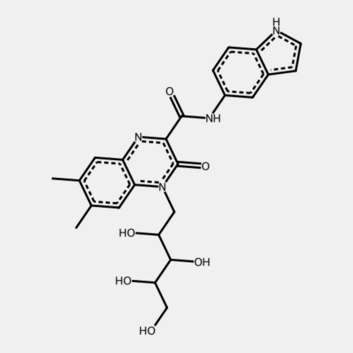 Cc1cc2nc(C(=O)Nc3ccc4[nH]ccc4c3)c(=O)n(CC(O)C(O)C(O)CO)c2cc1C